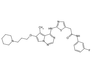 Cc1c(OCCCN2CCCCC2)cn2ncnc(Nc3ncc(CC(=O)Nc4cccc(F)c4)s3)c12